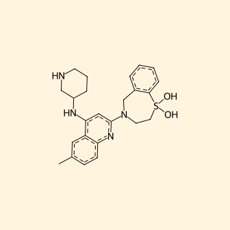 Cc1ccc2nc(N3CCS(O)(O)c4ccccc4C3)cc(NC3CCCNC3)c2c1